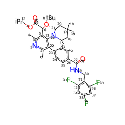 Cc1nc(C)c(C(OC(C)(C)C)C(=O)OC(C)C)c(N2CCC(C)(C)CC2)c1-c1ccc(C(=O)NCc2c(F)cc(F)cc2F)cc1